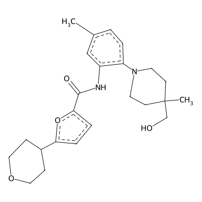 Cc1ccc(N2CCC(C)(CO)CC2)c(NC(=O)c2ccc(C3CCOCC3)o2)c1